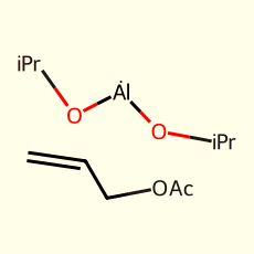 C=CCOC(C)=O.CC(C)[O][Al][O]C(C)C